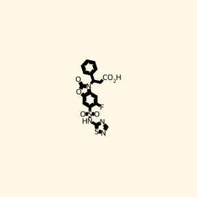 O=C(O)CC(c1ccccc1)n1c(=O)oc2cc(S(=O)(=O)Nc3ncns3)c(F)cc21